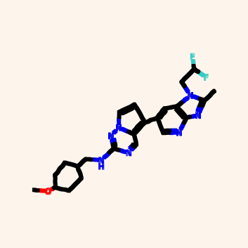 COC1CCC(CNc2ncc3c(-c4cnc5nc(C)n(CC(F)F)c5c4)ccn3n2)CC1